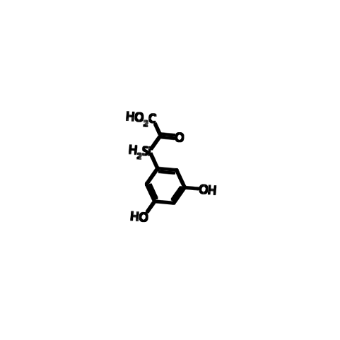 O=C(O)C(=O)[SiH2]c1cc(O)cc(O)c1